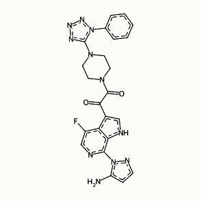 Nc1ccnn1-c1ncc(F)c2c(C(=O)C(=O)N3CCN(c4nnnn4-c4ccccc4)CC3)c[nH]c12